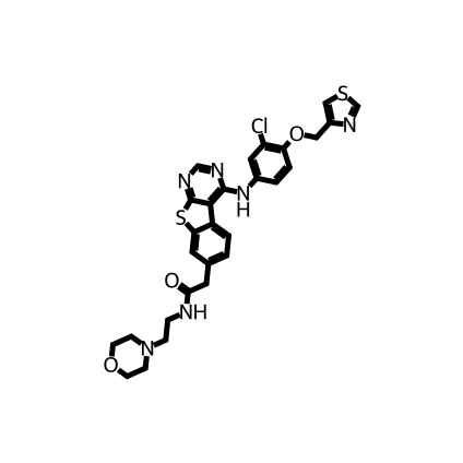 O=C(Cc1ccc2c(c1)sc1ncnc(Nc3ccc(OCc4cscn4)c(Cl)c3)c12)NCCN1CCOCC1